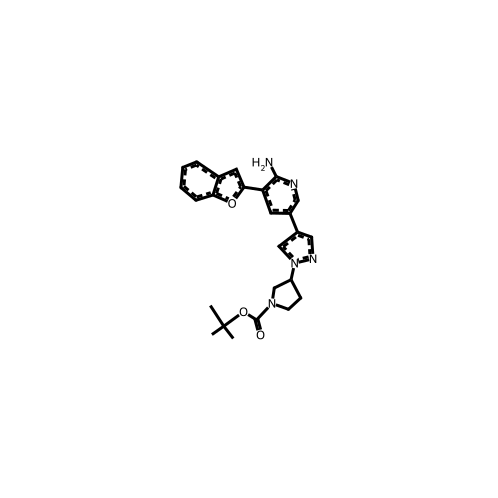 CC(C)(C)OC(=O)N1CCC(n2cc(-c3cnc(N)c(-c4cc5ccccc5o4)c3)cn2)C1